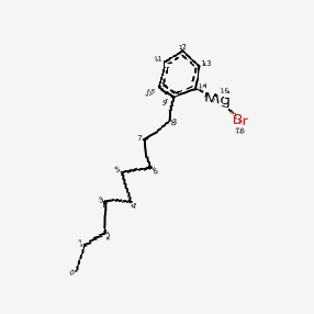 CCCCCCCCCc1cccc[c]1[Mg][Br]